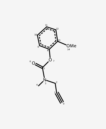 C#CCN(C)C(=O)Oc1ccccc1OC